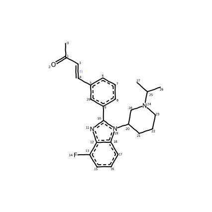 CC(=O)/C=C/c1cccc(-c2nc3c(F)cccc3n2C2CCCN(C(C)C)C2)c1